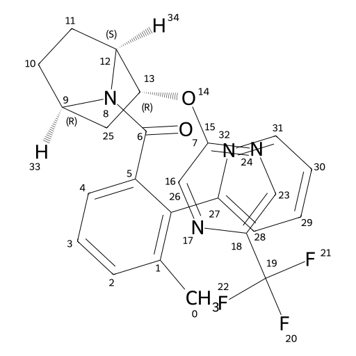 Cc1cccc(C(=O)N2[C@@H]3CC[C@H]2[C@H](Oc2cnc(C(F)(F)F)cn2)C3)c1-c1ccccn1